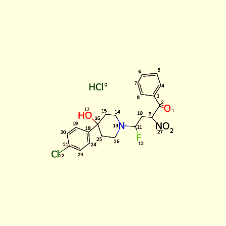 Cl.O=C(c1ccccc1)C(CC(F)N1CCC(O)(c2ccc(Cl)cc2)CC1)[N+](=O)[O-]